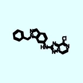 Clc1nccn2nc(Nc3ccc4cnn(Cc5ccccc5)c4c3)nc12